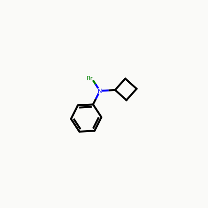 BrN(c1ccccc1)C1CCC1